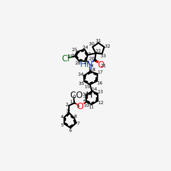 O=C(O)C(Cc1ccccc1)Oc1cccc(-c2ccc(NC(=O)C3(c4ccc(Cl)cc4)CCCC3)cc2)c1